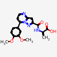 C=C(NC(=O)c1cc2nccc(-c3ccc(OC)c(OC)c3)n2n1)C(=O)O